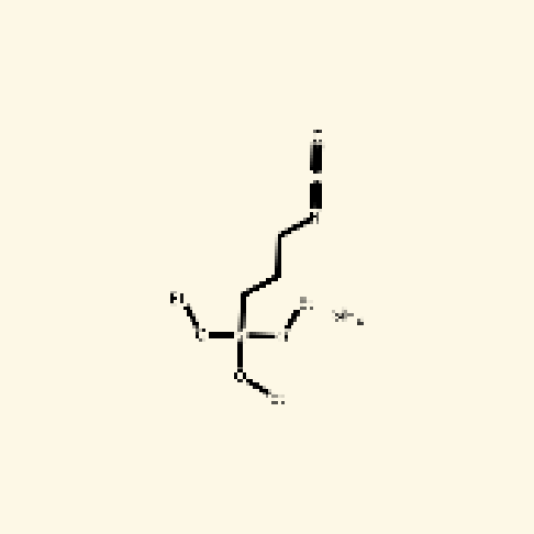 CCO[Si](CCCN=C=O)(OCC)OCC.[SiH4]